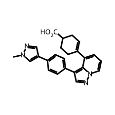 Cn1cc(-c2ccc(-c3cnn4cccc(C5=CCC(C(=O)O)CC5)c34)cc2)cn1